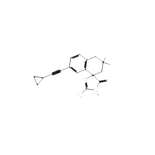 CN1C(=O)C2(CC(C)(C)Cc3ccc(C#CC4CC4)cc32)N=C1N